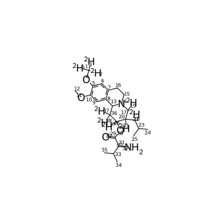 [2H]C([2H])([2H])Oc1cc2c(cc1OC)C1N(CC2)C([2H])([2H])C([2H])(CC(C)C)C([2H])(OC(=O)[C@@H](N)C(C)C)C1([2H])[2H]